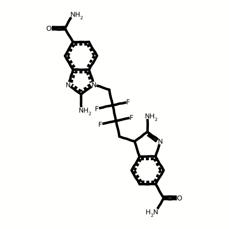 NC(=O)c1ccc2c(c1)N=C(N)C2CC(F)(F)C(F)(F)Cn1c(N)nc2cc(C(N)=O)ccc21